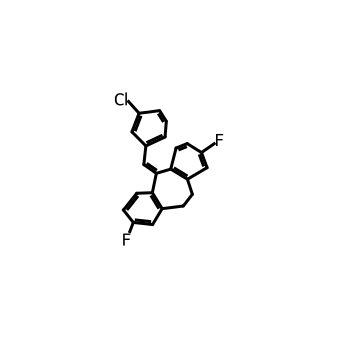 Fc1ccc2c(c1)CCc1cc(F)ccc1C2=Cc1cccc(Cl)c1